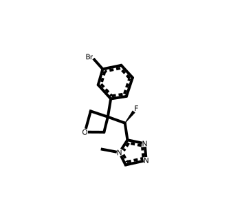 Cn1cnnc1[C@H](F)C1(c2cccc(Br)c2)COC1